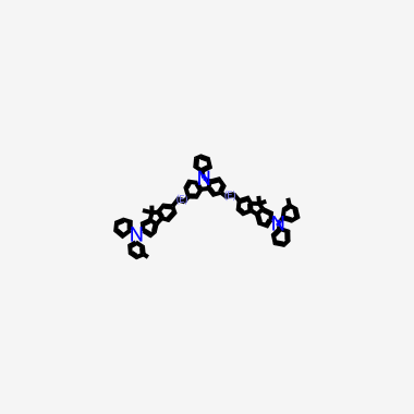 Cc1cccc(N(c2ccccc2)c2ccc3c(c2)C(C)(C)c2cc(/C=C/c4ccc5c(c4)c4cc(/C=C/c6ccc7c(c6)C(C)(C)c6cc(N(c8ccccc8)c8cccc(C)c8)ccc6-7)ccc4n5-c4ccccc4)ccc2-3)c1